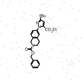 CCOC(=O)c1cc(C(C)(C)C)nn1-c1ccc2c(c1)CCN(C(=O)OCc1ccccc1)C2